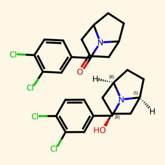 O=C1CC2CCC(C1)N2Cc1ccc(Cl)c(Cl)c1.O[C@H]1C[C@H]2CC[C@@H](C1)N2Cc1ccc(Cl)c(Cl)c1